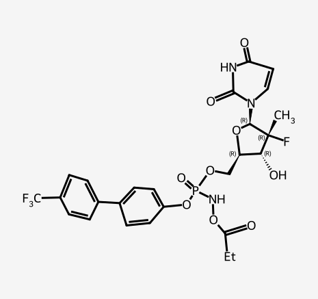 CCC(=O)ONP(=O)(OC[C@H]1O[C@@H](n2ccc(=O)[nH]c2=O)[C@](C)(F)[C@@H]1O)Oc1ccc(-c2ccc(C(F)(F)F)cc2)cc1